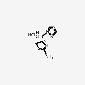 Cl.Cl.NC1=N[C@@H](Cn2cncn2)CS1